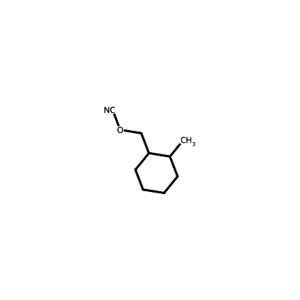 CC1CCCCC1COC#N